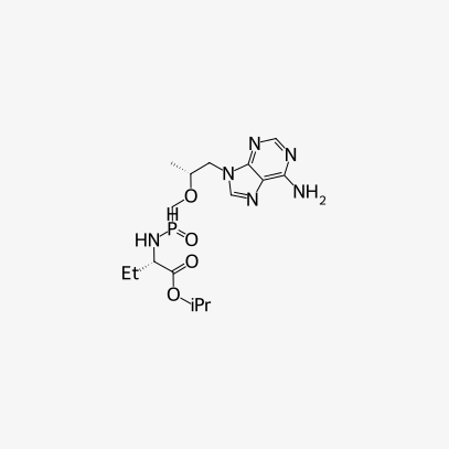 CC[C@H](N[PH](=O)CO[C@H](C)Cn1cnc2c(N)ncnc21)C(=O)OC(C)C